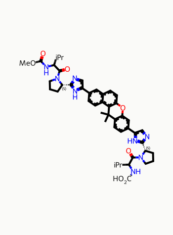 COC(=O)NC(C(=O)N1CCC[C@H]1c1ncc(-c2ccc3c4c(ccc3c2)Oc2cc(-c3cnc([C@@H]5CCCN5C(=O)C(NC(=O)O)C(C)C)[nH]3)ccc2C4(C)C)[nH]1)C(C)C